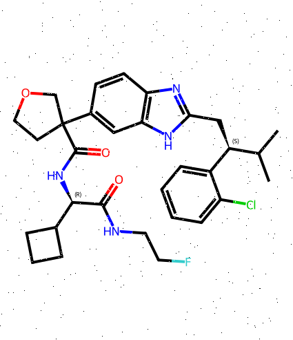 CC(C)[C@H](Cc1nc2ccc(C3(C(=O)N[C@@H](C(=O)NCCF)C4CCC4)CCOC3)cc2[nH]1)c1ccccc1Cl